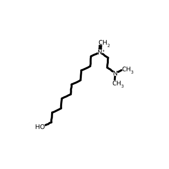 C=[N+](CCCCCCCCCCO)CCN(C)C